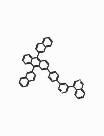 c1ccc2cc(-c3c4ccccc4c(-c4ccc5ccccc5c4)c4cc(-c5ccc(-c6cncc(-c7cncc8ccccc78)c6)cc5)ccc34)ccc2c1